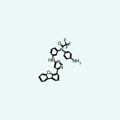 Nc1ccc(N(C(=O)C(F)(F)F)c2cccc(Nc3cc(-c4cccc5c4oc4ccccc45)ncn3)c2)cc1